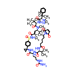 CN[C@H](C(=O)N[C@H](C(=O)N(C)[C@H](/C=C(\C)C(=O)N[S+]([O-])c1ccc(C2(NC(=O)[C@@H](CCCNC(N)=O)NC(=O)[C@H](NC(=O)CCCCCN3C(=O)C=CC3=O)C(C)C)CC2)cc1)C(C)C)C(C)(C)C)C(C)(C)c1ccccc1